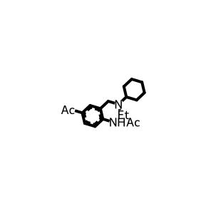 CCN(Cc1cc(C(C)=O)ccc1NC(C)=O)C1CCCCC1